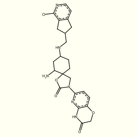 NC1CC(NCC2Cc3ccnc(Cl)c3C2)CCC12CN(c1ccc3c(n1)NC(=O)CO3)C(=O)O2